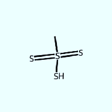 CS(=S)(=S)S